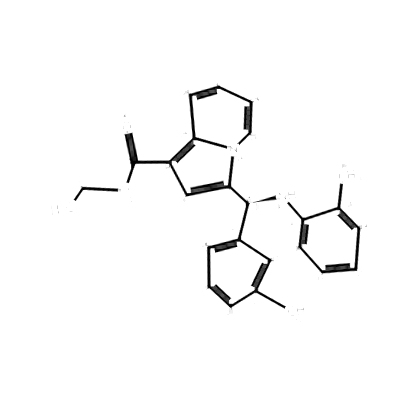 CCOC(=O)c1cc([C@@H](Nc2ccccc2C)c2cccc(C)c2)n2ccccc12